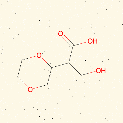 O=C(O)C(CO)C1COCCO1